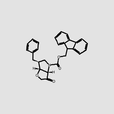 O=C1CO[C@@H]2[C@@H](Cc3ccccc3)CN(C(=O)OCC3c4ccccc4-c4ccccc43)[C@H]12